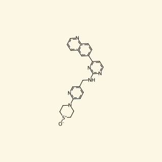 [O-][S+]1CCN(c2ccc(CNc3nccc(-c4ccc5ncccc5c4)n3)cn2)CC1